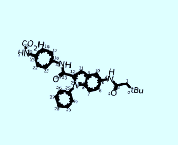 CC(C)(C)CC(=O)Nc1ccc2c(c1)cc(C(=O)Nc1ccc(NC(=O)O)cc1)n2-c1ccccc1